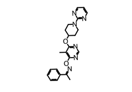 CC(=NOc1ncnc(OC2CCN(c3ncccn3)CC2)c1C)c1ccccc1